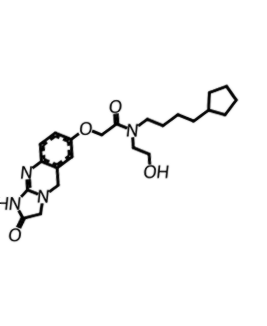 O=C1CN2Cc3cc(OCC(=O)N(CCO)CCCCC4CCCC4)ccc3N=C2N1